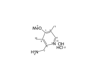 COc1c(C)cnc(CN)c1C.Cl.Cl